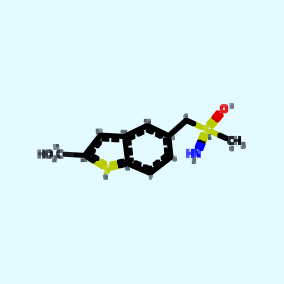 CS(=N)(=O)Cc1ccc2sc(C(=O)O)cc2c1